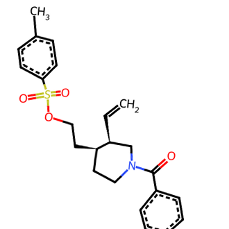 C=C[C@H]1CN(C(=O)c2ccccc2)CC[C@H]1CCOS(=O)(=O)c1ccc(C)cc1